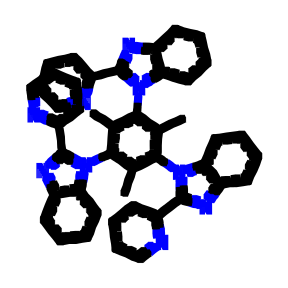 Cc1c(-n2c(-c3ccccn3)nc3ccccc32)c(C)c(-n2c(-c3ccccn3)nc3ccccc32)c(C)c1-n1c(-c2ccccn2)nc2ccccc21